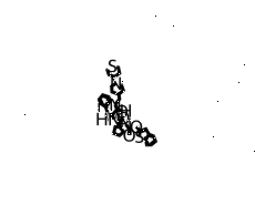 O=C(NC1(C(=O)N[C@H](Cc2ccccc2)C(=O)NCC2CCN(C3CCSCC3)CC2)CCCC1)Oc1cc2ccccc2s1